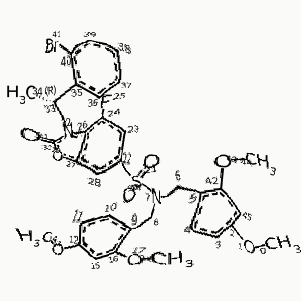 COc1ccc(CN(Cc2ccc(OC)cc2OC)S(=O)(=O)c2cc(F)c3c(c2)oc(=O)n3[C@H](C)c2ccccc2Br)c(OC)c1